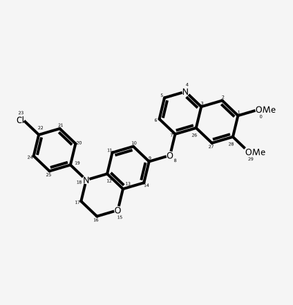 COc1cc2nccc(Oc3ccc4c(c3)OCCN4c3ccc(Cl)cc3)c2cc1OC